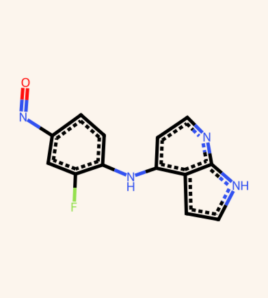 O=Nc1ccc(Nc2ccnc3[nH]ccc23)c(F)c1